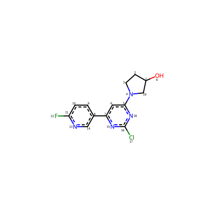 OC1CCN(c2cc(-c3ccc(F)nc3)nc(Cl)n2)C1